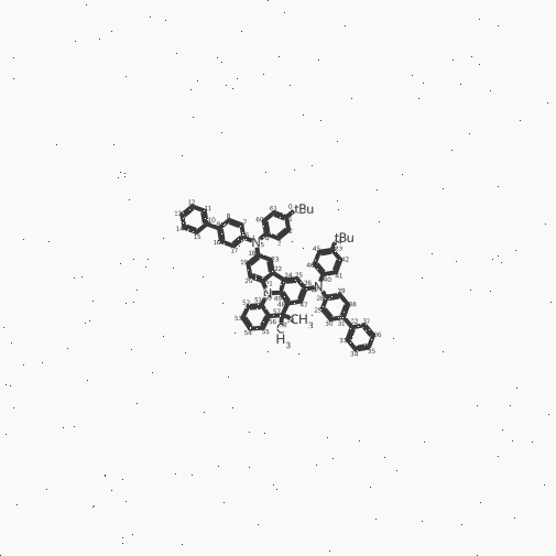 CC(C)(C)c1ccc(N(c2ccc(-c3ccccc3)cc2)c2ccc3c(c2)c2cc(N(c4ccc(-c5ccccc5)cc4)c4ccc(C(C)(C)C)cc4)cc4c2n3-c2ccccc2C4(C)C)cc1